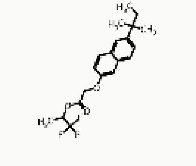 CCC(C)(C)c1ccc2cc(OCC(=O)OC(C)C(F)(F)F)ccc2c1